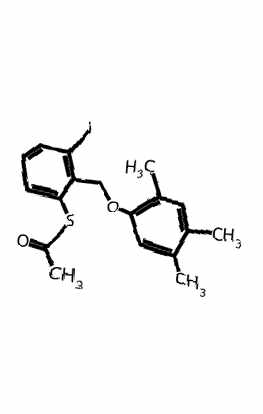 CC(=O)Sc1cccc(I)c1COc1cc(C)c(C)cc1C